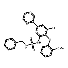 COc1ccccc1Oc1c(Cl)nc(-c2cnccn2)nc1NS(=O)(=O)NCc1ccccc1